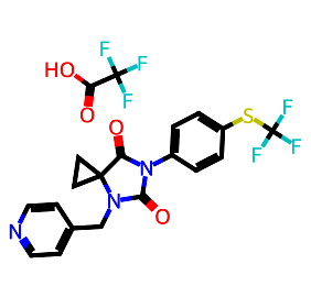 O=C(O)C(F)(F)F.O=C1N(c2ccc(SC(F)(F)F)cc2)C(=O)C2(CC2)N1Cc1ccncc1